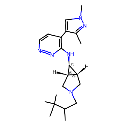 Cc1nn(C)cc1-c1ccnnc1N[C@H]1[C@@H]2CN(CC(C)C(C)(C)C)C[C@@H]21